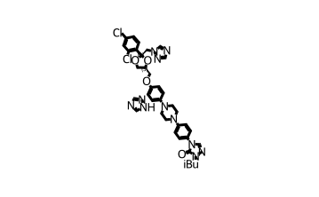 CCC(C)n1ncn(-c2ccc(N3CCN(c4ccc(OC[C@H]5CO[C@](Cn6cncn6)(c6ccc(Cl)cc6Cl)O5)cc4)CC3)cc2)c1=O.c1nc[nH]n1